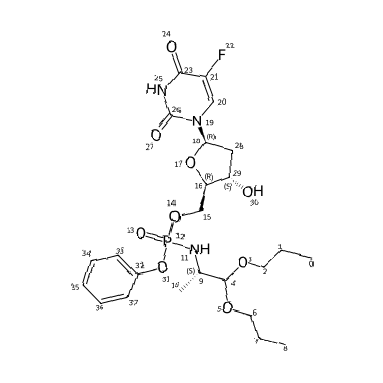 CCCOC(OCCC)[C@H](C)NP(=O)(OC[C@H]1O[C@@H](n2cc(F)c(=O)[nH]c2=O)C[C@@H]1O)Oc1ccccc1